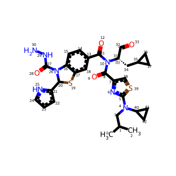 CC(C)CN(c1nc(C(=O)N(C(=O)c2ccc3c(c2)SC(c2ccc[nH]2)N3C(=O)NN)[C@H]([C]=O)CC2CC2)cs1)C1CC1